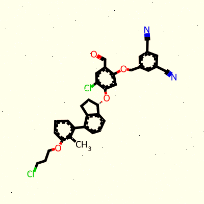 Cc1c(OCCCCl)cccc1-c1cccc2c1CC[C@@H]2Oc1cc(OCc2cc(C#N)cc(C#N)c2)c(C=O)cc1Cl